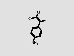 CC(=C(Cl)Cl)c1ccc(N)cc1